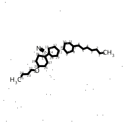 CCCCCCCC1CCC([C@H]2CC[C@](C#N)(C3CCC(OCCCC)CC3)CC2)CC1